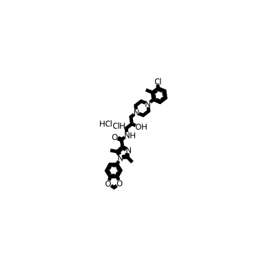 Cc1c(Cl)cccc1N1CCN(CC(O)CNC(=O)c2nc(C)n(-c3ccc4c(c3)OCO4)c2C)CC1.Cl.Cl